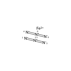 [Fe+2].[N-]=[N+]=[N-].[N-]=[N+]=[N-]